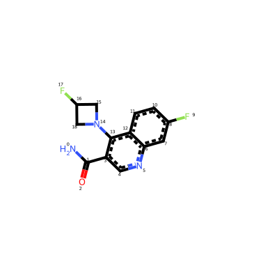 NC(=O)c1cnc2cc(F)ccc2c1N1CC(F)C1